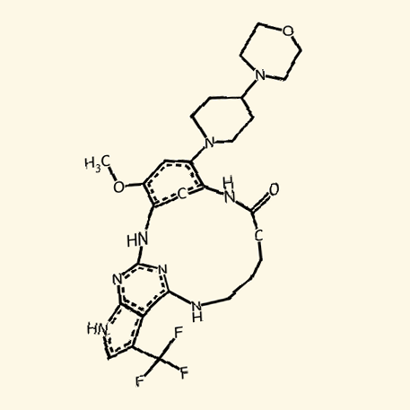 COc1cc(N2CCC(N3CCOCC3)CC2)c2cc1Nc1nc(c3c(C(F)(F)F)c[nH]c3n1)NCCCCC(=O)N2